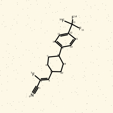 N#CC(F)=CC1CCC(c2ccc(C(F)(F)F)cc2)CC1